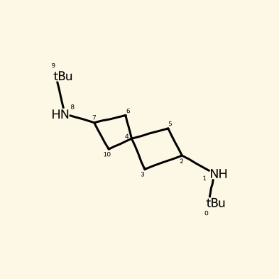 CC(C)(C)NC1CC2(C1)CC(NC(C)(C)C)C2